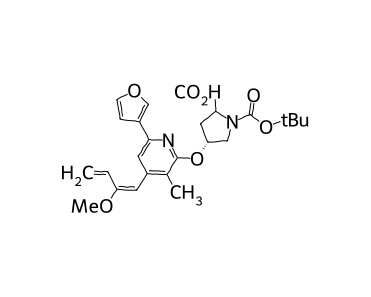 C=C/C(=C\c1cc(-c2ccoc2)nc(O[C@@H]2CC(C(=O)O)N(C(=O)OC(C)(C)C)C2)c1C)OC